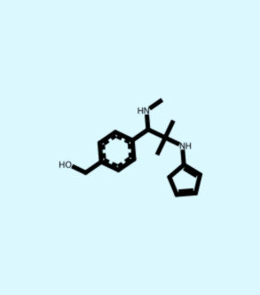 CNC(c1ccc(CO)cc1)C(C)(C)NC1=CC=CC1